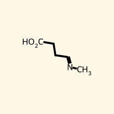 CN=CCCC(=O)O